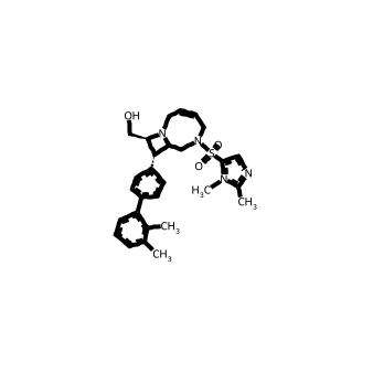 Cc1cccc(-c2ccc([C@H]3C4CN(S(=O)(=O)c5cnc(C)n5C)C/C=C\CN4[C@@H]3CO)cc2)c1C